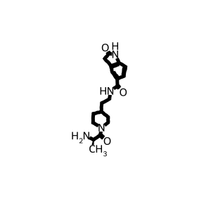 C[C@@H](N)C(=O)N1CCC(CCNC(=O)c2ccc3c(c2)CC(=O)N3)CC1